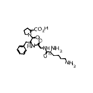 NCCCC[C@H](N)C(=O)NCC(=O)N[C@@H](Cc1ccccc1)C(=O)N1CCC[C@H]1C(=O)O